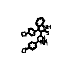 S=c1[nH]c2ccccc2c(-c2ccc(Cl)cc2)c1C1=NNC(c2ccc(Cl)cc2)C1